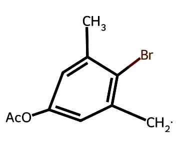 [CH2]c1cc(OC(C)=O)cc(C)c1Br